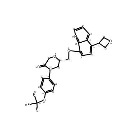 O=C1CO[C@H](COc2ccc(C3COC3)c3cccnc23)CN1c1ccc(OC(F)(F)F)cc1